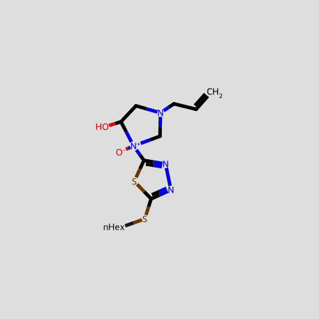 C=CCN1CC(O)[N+]([O-])(c2nnc(SCCCCCC)s2)C1